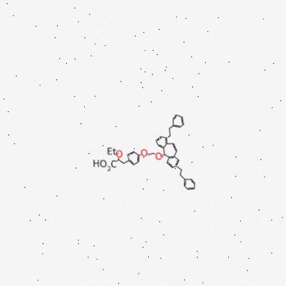 CCOC(Cc1ccc(OCCOC2c3ccc(CCc4ccccc4)cc3C=Cc3c(CCc4ccccc4)cccc32)cc1)C(=O)O